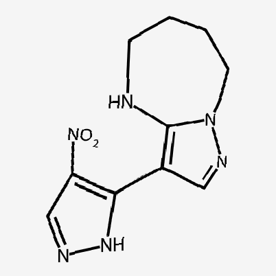 O=[N+]([O-])c1cn[nH]c1-c1cnn2c1NCCCC2